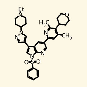 CCN1CCC(n2cc(-c3cn(S(=O)(=O)c4ccccc4)c4ncc(-c5cc(C)c(C6CCOCC6)c(C)n5)cc34)cn2)CC1